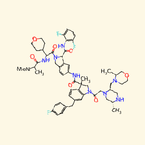 CNC(C)C(=O)NC(C(=O)N1Cc2ccc(NC(=O)C3(C)CN(C(=O)CN4C[C@@H](C)NC[C@@H]4CN4CCOCC4C)c4cc(Cc5ccc(F)cc5)ccc43)cc2C1C(=O)Nc1c(F)cccc1F)C1CCOCC1